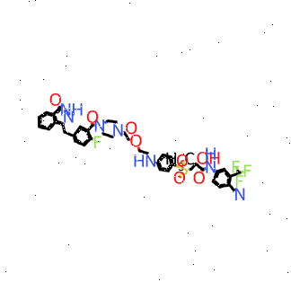 CC(O)(CS(=O)(=O)c1ccc(NCCOCC(=O)N2CCN(C(=O)c3cc(Cc4n[nH]c(=O)c5ccccc45)ccc3F)CC2)cc1)C(=O)Nc1ccc(C#N)c(C(F)(F)F)c1